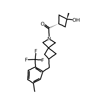 Cc1ccc(C(F)(F)F)c(CC2CC3(C2)CN(C(=O)[C@H]2C[C@@](C)(O)C2)C3)c1